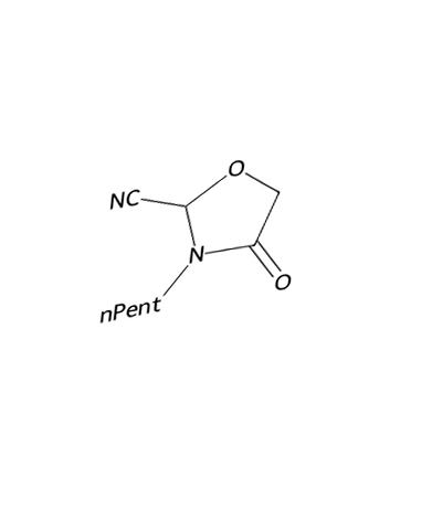 CCCCCN1C(=O)COC1C#N